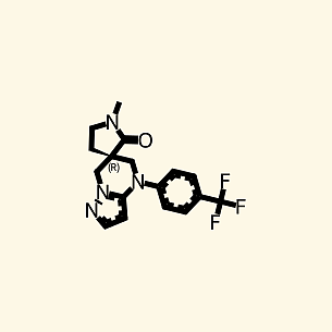 CN1CC[C@]2(CN(c3ccc(C(F)(F)F)cc3)c3ccnn3C2)C1=O